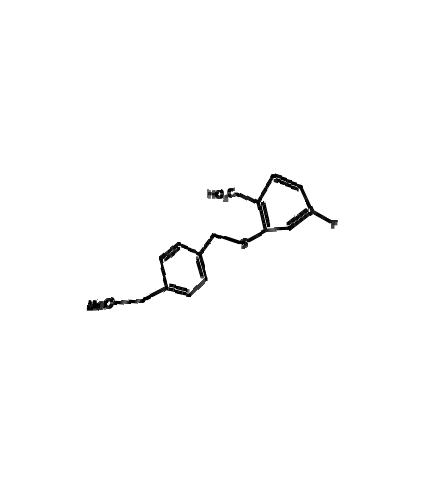 COCc1ccc(CSc2cc(F)ccc2C(=O)O)cc1